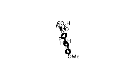 COc1ccc(N2C[C@@H]3C(c4ccc(N5C[C@@H](N(C)C(=O)O)OC5=O)cc4F)[C@@H]3C2)cc1